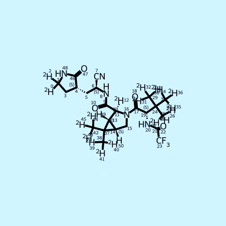 [2H]C1([2H])C[C@@H](C[C@@H](C#N)NC(=O)[C@]2([2H])[C@@H]3[C@H](CN2C(=O)[C@@H](NC(=O)C(F)(F)F)C(C([2H])([2H])[2H])(C([2H])([2H])[2H])C([2H])([2H])[2H])C3(C([2H])([2H])[2H])C([2H])([2H])[2H])C(=O)N1